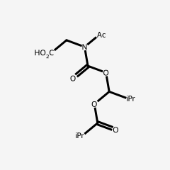 CC(=O)N(CC(=O)O)C(=O)OC(OC(=O)C(C)C)C(C)C